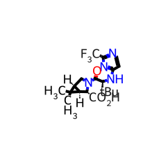 CC(C)(C)[C@H](Nc1ccnc(C(F)(F)F)n1)C(=O)N1C[C@H]2[C@@H]([C@H]1C(=O)O)C2(C)C